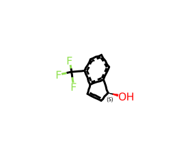 O[C@H]1C=Cc2c1cccc2C(F)(F)F